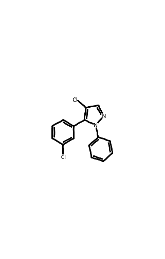 Clc1cccc(-c2c(Cl)[c]nn2-c2ccccc2)c1